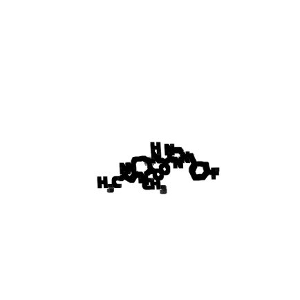 Cc1cc2n(n1)CC[C@H](NC(=O)c1ncn(Cc3cccc(F)c3)n1)C(=O)N2C